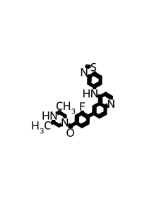 CC1CN(C(=O)c2ccc(-c3ccc4nccc(Nc5ccc6scnc6c5)c4c3)c(F)c2)CC(C)N1